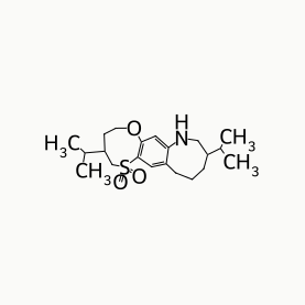 CC(C)C1CCCc2cc3c(cc2NC1)OCCC(C(C)C)CS3(=O)=O